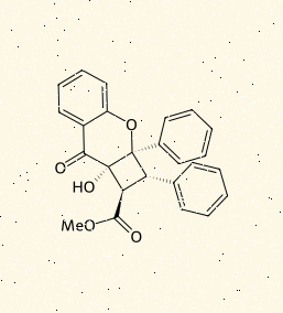 COC(=O)[C@@H]1[C@@H](c2ccccc2)[C@]2(c3ccccc3)Oc3ccccc3C(=O)[C@]12O